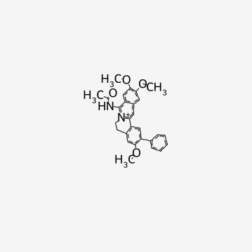 COc1cc2cc3[n+](c(NC(C)=O)c2cc1OC)CCc1cc(OC)c(-c2ccccc2)cc1-3